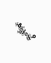 CCc1c(N2CCN(C(=O)c3ncnc(C)c3OCc3ccccc3)CC2)c(=O)n2nc(N(C)C)nc2n1CC(=O)Nc1c(Cl)cc(C(F)(F)F)c2c1CC2